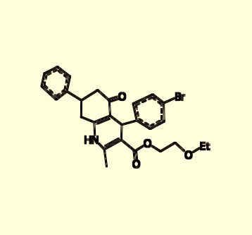 CCOCCOC(=O)C1=C(C)NC2=C(C(=O)CC(c3ccccc3)C2)C1c1ccc(Br)cc1